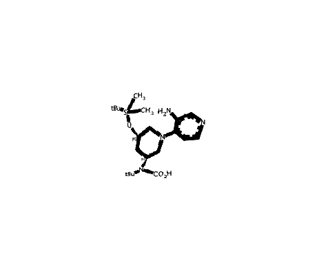 CC(C)(C)N(C(=O)O)[C@H]1C[C@@H](O[Si](C)(C)C(C)(C)C)CN(c2ccncc2N)C1